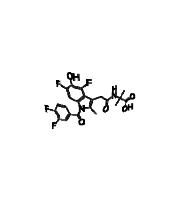 Cc1c(CC(=O)NC(C)(C)C(=O)O)c2c(F)c(O)c(F)cc2n1C(=O)c1ccc(F)c(F)c1